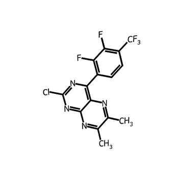 Cc1nc2nc(Cl)nc(-c3ccc(C(F)(F)F)c(F)c3F)c2nc1C